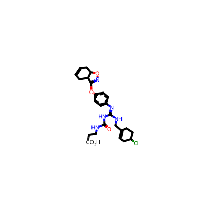 O=C(O)CCNC(=O)N/C(=N\c1ccc(OC2=NOC3CC=CCC23)cc1)NCC1=CCC(Cl)CC1